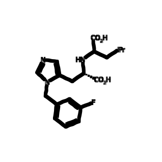 CC(C)CC(N[C@@H](Cc1cncn1Cc1cccc(F)c1)C(=O)O)C(=O)O